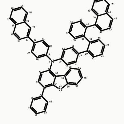 c1ccc(-c2ccc(N(c3ccc(-c4ccc5ccccc5c4)cc3)c3ccc(-c4ccccc4-c4ccccc4-c4cccc5ccccc45)cc3)c3c2oc2ccccc23)cc1